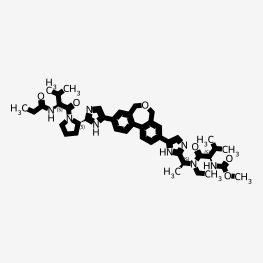 CCC(=O)N[C@H](C(=O)N1CCC[C@H]1c1ncc(-c2ccc3c(c2)COCc2cc(-c4cnc([C@H](C)N(CC)C(=O)[C@@H](NC(=O)OC)C(C)C)[nH]4)ccc2-3)[nH]1)C(C)C